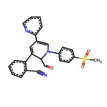 CS(=O)(=O)c1ccc(N2C=C(c3ccccn3)C=C(c3ccccc3C#N)C2C=O)cc1